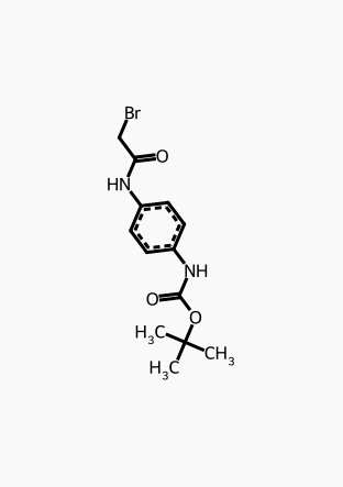 CC(C)(C)OC(=O)Nc1ccc(NC(=O)CBr)cc1